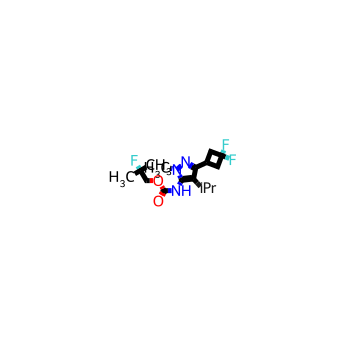 CC(C)c1c(C2CC(F)(F)C2)nn(C)c1NC(=O)OCC(C)(C)F